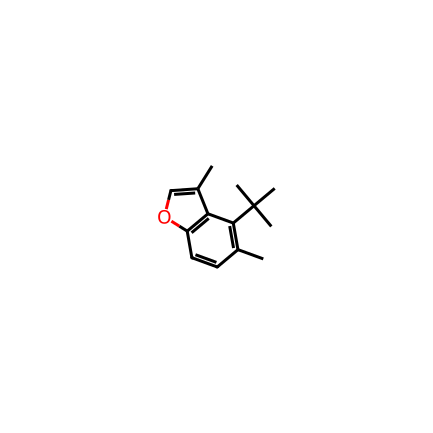 Cc1ccc2occ(C)c2c1C(C)(C)C